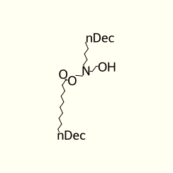 CCCCCCCCCCCCCCCCCCCC(=O)OCCN(CCO)CCCCCCCCCCCCCCC